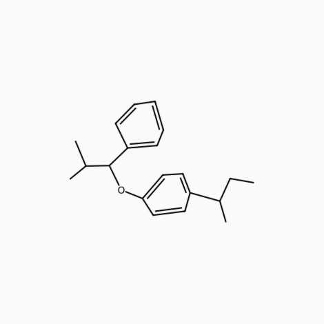 CCC(C)c1ccc(OC(c2ccccc2)C(C)C)cc1